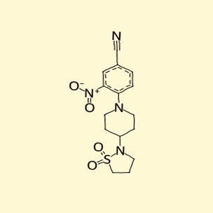 N#Cc1ccc(N2CCC(N3CCCS3(=O)=O)CC2)c([N+](=O)[O-])c1